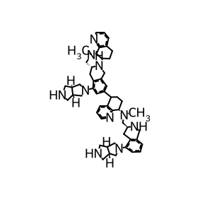 CN(C[C@H]1Cc2c(cc(C3CC[C@H](N(C)C[C@@H]4Cc5c(cccc5N5C[C@@H]6CNC[C@H]6C5)CN4)c4ncccc43)cc2N2C[C@@H]3CNC[C@H]3C2)CN1)[C@H]1CCCc2cccnc21